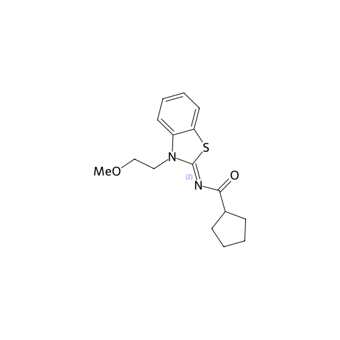 COCCn1/c(=N/C(=O)C2CCCC2)sc2ccccc21